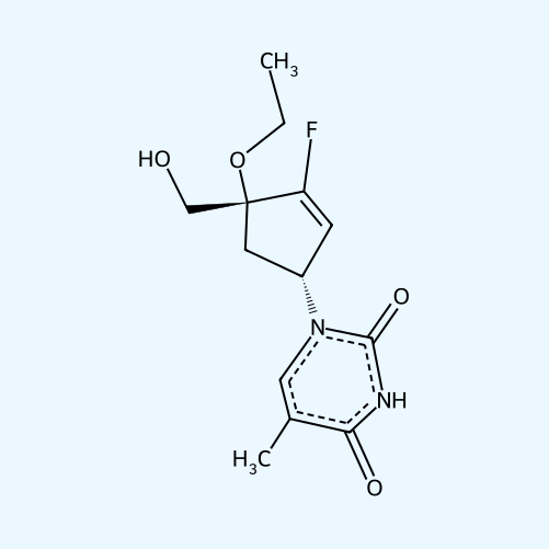 CCO[C@@]1(CO)C[C@@H](n2cc(C)c(=O)[nH]c2=O)C=C1F